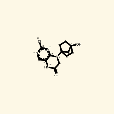 O=C1CN(C23CCC(O)(CC2)C3)c2nc(Cl)ncc2N1